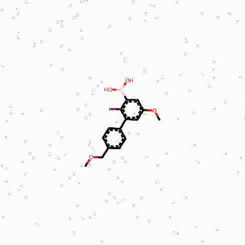 COCc1ccc(-c2cc(OC)cc(B(O)O)c2I)cc1